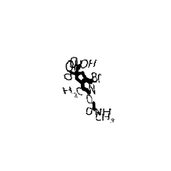 CNC(=O)COc1nc(Br)c2c(c1C)CC(C(=O)O)(C(=O)O)C2